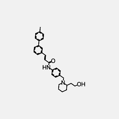 Cc1ccc(-c2cccc(/C=C/C(=O)Nc3ccc(CN4CCCCC4CCO)cc3)c2)cc1